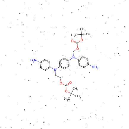 CC(C)(C)OC(=O)OCCN(c1ccc(N)cc1)c1ccc(N(COC(=O)OC(C)(C)C)c2ccc(N)cc2)cc1